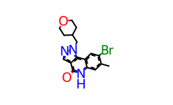 Cc1cc2[nH]c(=O)c3cnn(CC4CCOCC4)c3c2cc1Br